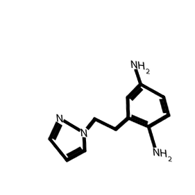 Nc1ccc(N)c(CCn2cccn2)c1